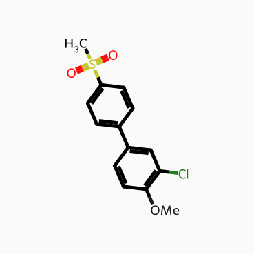 COc1ccc(-c2ccc(S(C)(=O)=O)cc2)cc1Cl